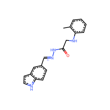 Cc1ccccc1NCC(=O)N/N=C/c1ccc2[nH]ccc2c1